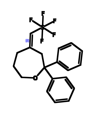 FS(F)(F)(F)(F)/C=C1/CCCOC(c2ccccc2)(c2ccccc2)C1